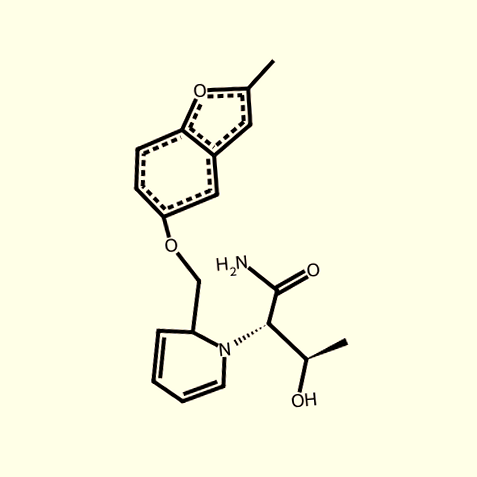 Cc1cc2cc(OCC3C=CC=CN3[C@H](C(N)=O)[C@@H](C)O)ccc2o1